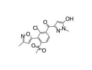 Cc1cc(-c2c(S(C)(=O)=O)ccc(C(=O)c3cc(O)n(C)n3)c2Cl)on1